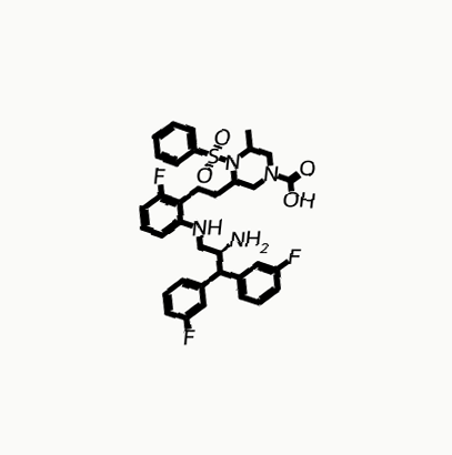 CC1CN(C(=O)O)CC(CCc2c(F)cccc2NC[C@@H](N)C(c2cccc(F)c2)c2cccc(F)c2)N1S(=O)(=O)c1ccccc1